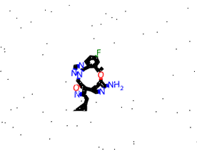 CC1Oc2cc(cnc2N)-c2c(CC3CC3)noc2Cn2ncnc2-c2ccc(F)cc21